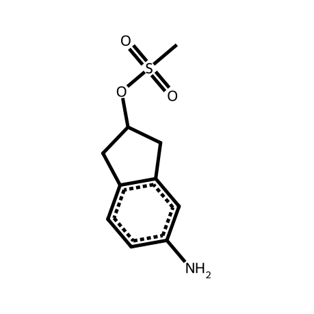 CS(=O)(=O)OC1Cc2ccc(N)cc2C1